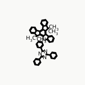 CC1(C)c2ccccc2-c2c3c(c4c(c21)c1ccccc1n4-c1cccc(-c2nc(-c4ccccc4)nc(-c4ccccc4)n2)c1)C(C)(C)c1ccccc1-3